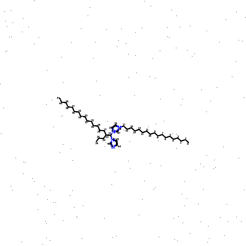 CCCCCCCCCCCCCCCCCCn1cc[n+](C(C(CCC)CCCCCCCCCCCCCCC)n2ccnc2)c1